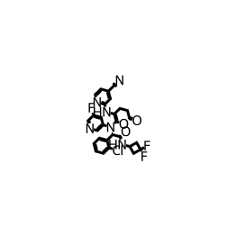 N#Cc1ccnc(NC2=C(N(c3cncc(F)c3)[C@H](C(=O)NC3CC(F)(F)C3)c3ccccc3Cl)OC(=O)CC2)c1